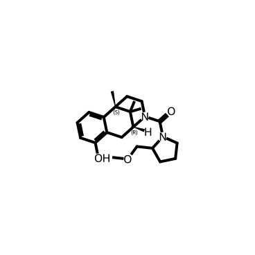 COCC1CCCN1C(=O)N1CC[C@@]2(C)c3cccc(O)c3C[C@@H]1C2(C)C